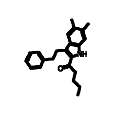 CCCCC(=O)c1[nH]c2cc(C)c(C)cc2c1CCc1ccccc1